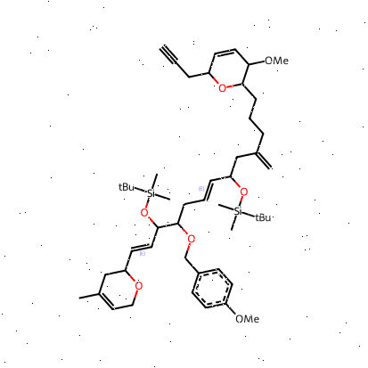 C#CCC1C=CC(OC)C(CCCC(=C)CC(/C=C/CC(OCc2ccc(OC)cc2)C(/C=C/C2CC(C)=CCO2)O[Si](C)(C)C(C)(C)C)O[Si](C)(C)C(C)(C)C)O1